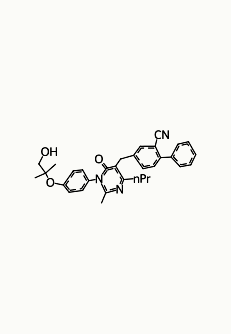 CCCc1nc(C)n(-c2ccc(OC(C)(C)CO)cc2)c(=O)c1Cc1ccc(-c2ccccc2)c(C#N)c1